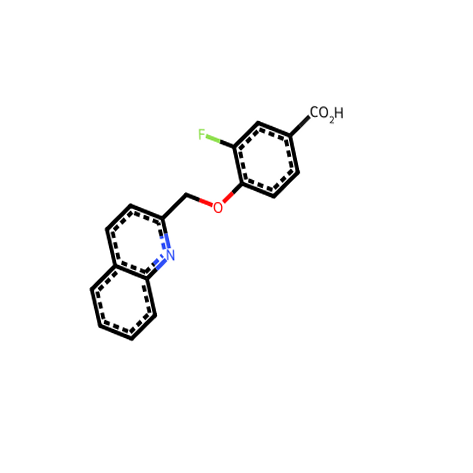 O=C(O)c1ccc(OCc2ccc3ccccc3n2)c(F)c1